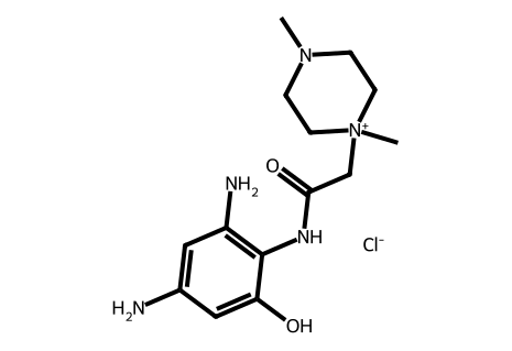 CN1CC[N+](C)(CC(=O)Nc2c(N)cc(N)cc2O)CC1.[Cl-]